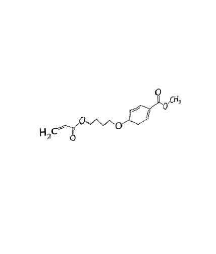 C=CC(=O)OCCCCOC1C=CC(C(=O)OC)=CC1